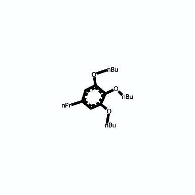 [CH2]CCc1cc(OCCCC)c(OCCCC)c(OCCCC)c1